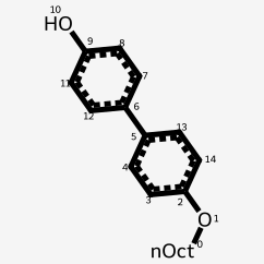 CCCCCCCCOc1ccc(-c2ccc(O)cc2)cc1